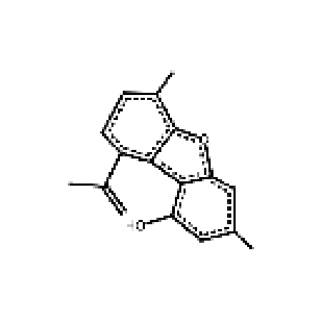 C=C(C)c1ccc(C)c2oc3cc(C)cc(O)c3c12